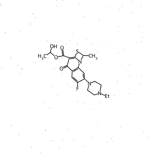 CCN1CCN(c2cc3c(cc2F)c(=O)c(C(=O)OC(C)O)c2n3C(C)S2)CC1